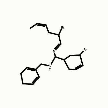 C/C=C\CC(/C=N/C(NCC1=CCCC=C1)C1CC=CC(Br)C1)CC